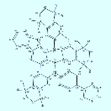 Cc1cc2c(cc1N1c3cc4c(cc3B3c5c(cc6c(oc7ccccc76)c51)-c1cc5c(cc1N3c1ccc(-c3ccccc3)cc1)C(C)(C)CCC5(C)C)C(C)(C)CCC4(C)C)C(C)(C)CCC2(C)C